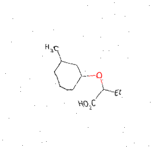 CCC(OC1CCCC(C)C1)C(=O)O